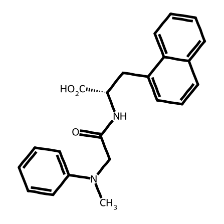 CN(CC(=O)N[C@@H](Cc1cccc2ccccc12)C(=O)O)c1ccccc1